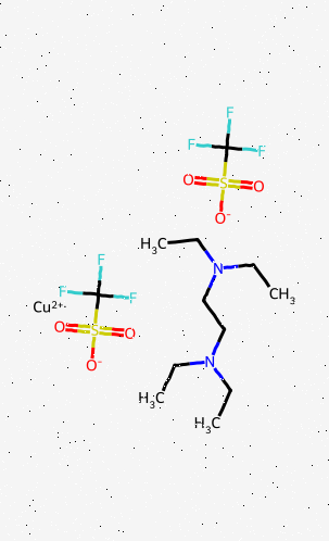 CCN(CC)CCN(CC)CC.O=S(=O)([O-])C(F)(F)F.O=S(=O)([O-])C(F)(F)F.[Cu+2]